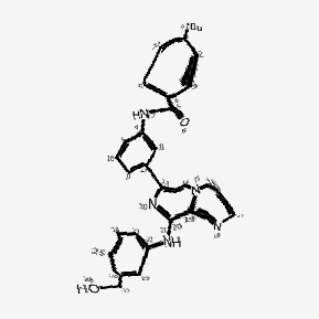 CC(C)(C)c1ccc(C(=O)Nc2cccc(-c3cn4ccnc4c(Nc4cccc(CO)c4)n3)c2)cc1